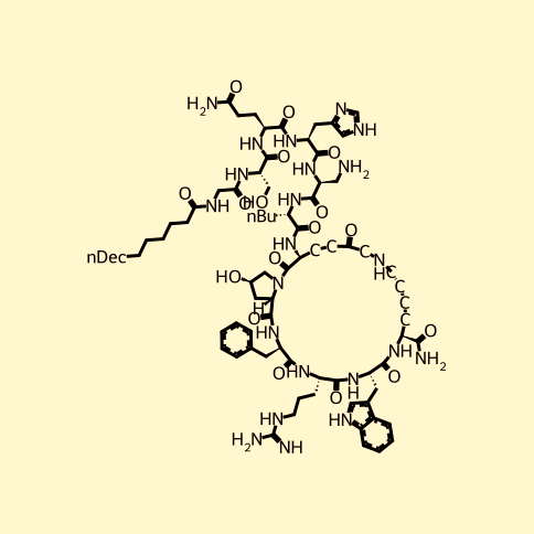 CCCCCCCCCCCCCCCC(=O)NCC(=O)N[C@@H](CO)C(=O)N[C@@H](CCC(N)=O)C(=O)N[C@@H](Cc1c[nH]cn1)C(=O)N[C@@H](CN)C(=O)N[C@@H](CCCC)C(=O)N[C@H]1CCC(=O)CNCCCC[C@@H](C(N)=O)NC(=O)[C@H](Cc2c[nH]c3ccccc23)NC(=O)[C@H](CCCNC(=N)N)NC(=O)[C@@H](Cc2ccccc2)NC(=O)[C@@H]2C[C@@H](O)CN2C1=O